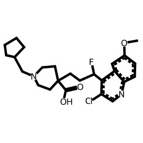 COc1ccc2ncc(Cl)c(C(F)CCC3(C(=O)O)CCN(CC4CCCC4)CC3)c2c1